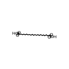 O=S(=O)(O)CCCCCCCCCCCCCCCCCCCCCCS(=O)(=O)O